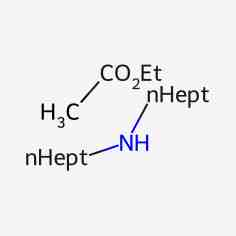 CCCCCCCNCCCCCCC.CCOC(C)=O